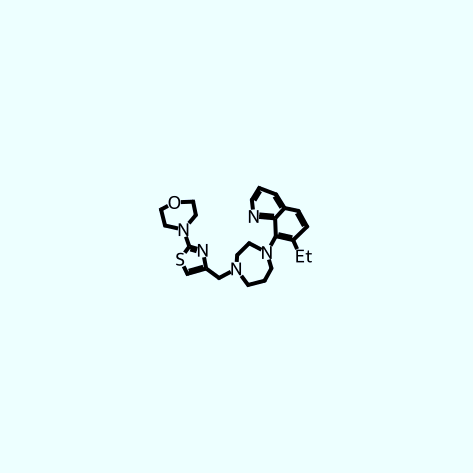 CCc1ccc2cccnc2c1N1CCCN(Cc2csc(N3CCOCC3)n2)CC1